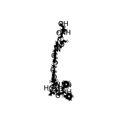 CCC(=O)N(CCC(=O)NC(C)(C)CCO)Cc1cn(CCOCCOCCOCCOCC(C)(C)C(C)(C)OB(O)[C@@H](CC(C)C)NC(=O)[C@@H](Cc2ccccc2)NC(=O)c2cnccn2)nn1